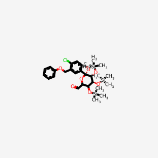 CO[C@@]1(c2ccc(Cl)c(COc3ccccc3)c2)OC(C=O)C(O[Si](C)(C)C)[C@H](O[Si](C)(C)C)[C@H]1O[Si](C)(C)C